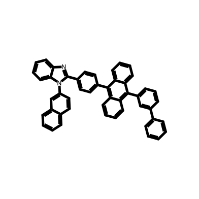 c1ccc(-c2cccc(-c3c4ccccc4c(-c4ccc(-c5nc6ccccc6n5-c5ccc6ccccc6c5)cc4)c4ccccc34)c2)cc1